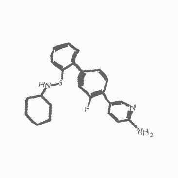 Nc1ccc(-c2ccc(-c3ccccc3SNC3CCCCC3)cc2F)cn1